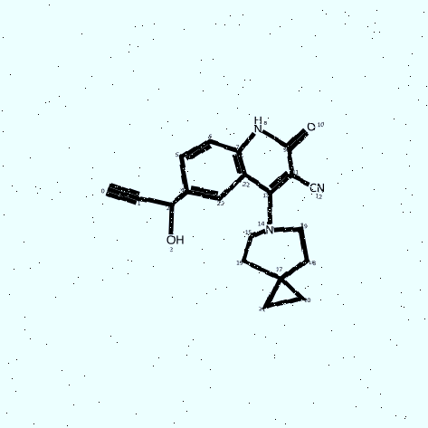 C#CC(O)c1ccc2[nH]c(=O)c(C#N)c(N3CCC4(CC3)CC4)c2c1